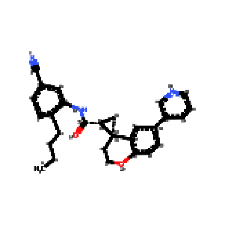 CCCCc1ccc(C#N)cc1NC(=O)[C@@H]1C[C@]12CCOc1ccc(-c3cccnc3)cc12